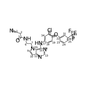 N#CCC(=O)NCCn1ccc2ncnc(Nc3ccc(Oc4cccc(C(F)(F)F)c4)c(Cl)c3)c21